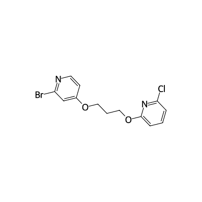 Clc1cccc(OCCCOc2ccnc(Br)c2)n1